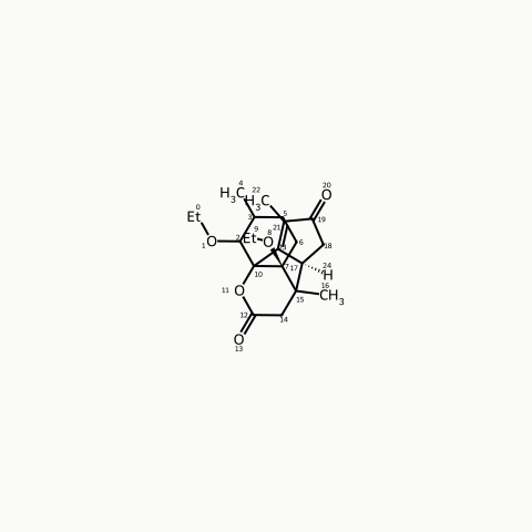 CCOC1C(C)CC[C@@]2(OCC)C13OC(=O)CC2(C)[C@@H]1CC(=O)C(C)=C13